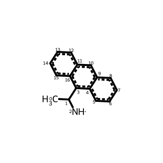 CC([NH])c1c2ccccc2cc2ccccc12